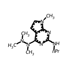 CCCNc1nc(N(C)N(C)C)c2ccn(C)c2n1